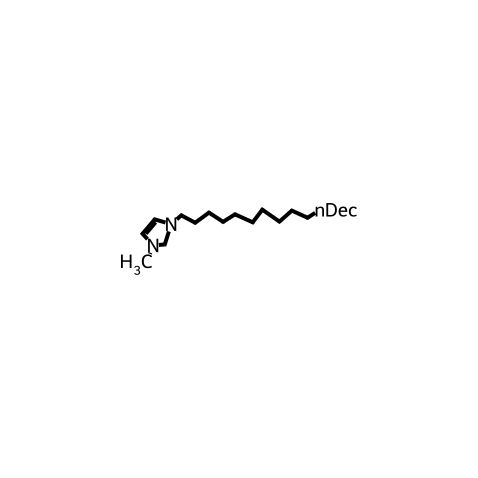 CCCCCCCCCCCCCCCCCCCCN1C=CN(C)C1